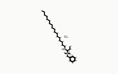 CCCCCCCCCCCCCCCCCCNC(CC)[N+](C)(C)Cc1ccccc1.[Cl-]